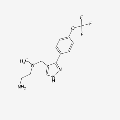 CN(CCN)Cc1c[nH]nc1-c1ccc(OC(F)(F)F)cc1